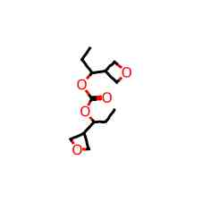 CCC(OC(=O)OC(CC)C1COC1)C1COC1